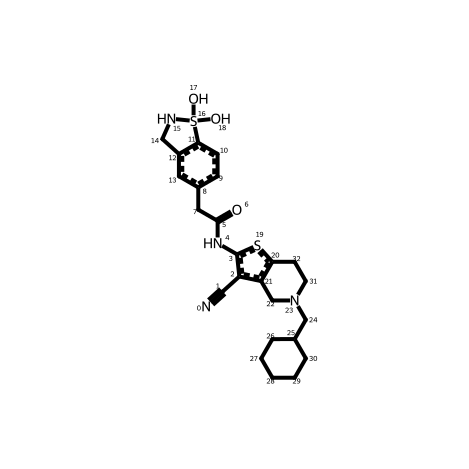 N#Cc1c(NC(=O)Cc2ccc3c(c2)CNS3(O)O)sc2c1CN(CC1CCCCC1)CC2